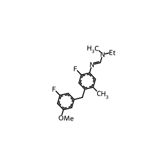 CCN(C)C=Nc1cc(C)c(Cc2cc(F)cc(OC)c2)cc1F